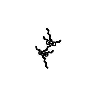 CCCCC=C[Si](CCCC[Si](C=CCCCC)(OCCC)OCCC)(OCCC)OCCC